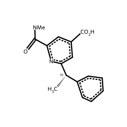 CNC(=O)c1cc(C(=O)O)cc([C@@H](C)c2ccccc2)n1